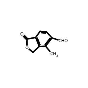 Cc1c(C=O)ccc2c1COC2=O